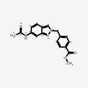 COC(=O)c1ccc(Cn2cc3ccc(NC(C)=O)cc3n2)cc1